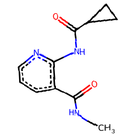 CNC(=O)c1cccnc1NC(=O)C1CC1